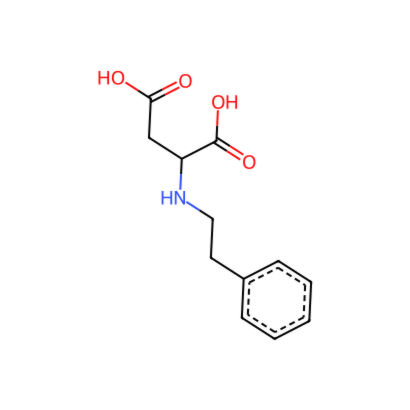 O=C(O)CC(NCCc1ccccc1)C(=O)O